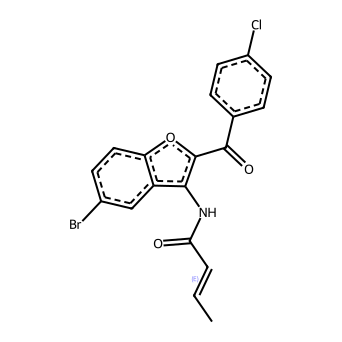 C/C=C/C(=O)Nc1c(C(=O)c2ccc(Cl)cc2)oc2ccc(Br)cc12